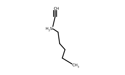 C#C[SiH2]CCCCC